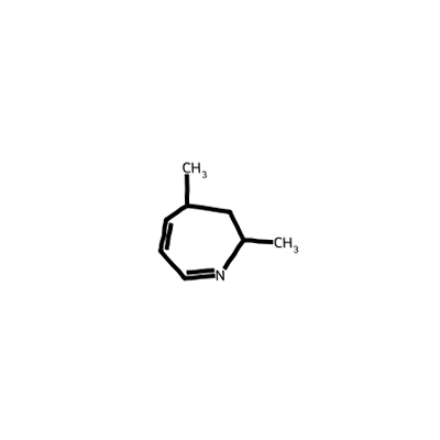 CC1C=CC=NC(C)C1